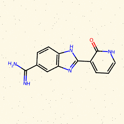 N=C(N)c1ccc2[nH]c(-c3ccc[nH]c3=O)nc2c1